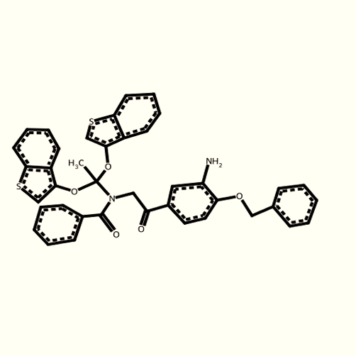 CC(Oc1csc2ccccc12)(Oc1csc2ccccc12)N(CC(=O)c1ccc(OCc2ccccc2)c(N)c1)C(=O)c1ccccc1